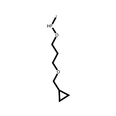 IPOCCCOCC1CC1